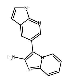 Nc1nc2ccccn2c1-c1cnc2[nH]ccc2c1